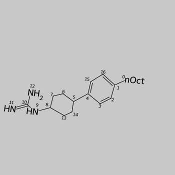 CCCCCCCCc1ccc(C2CCC(NC(=N)N)CC2)cc1